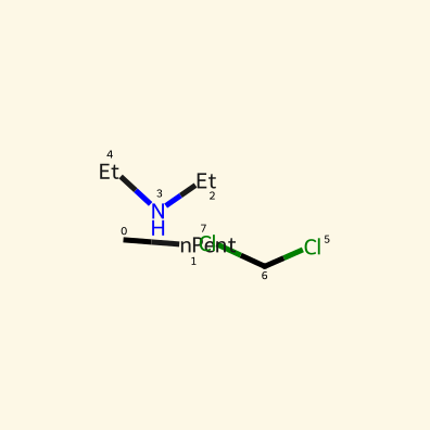 CCCCCC.CCNCC.ClCCl